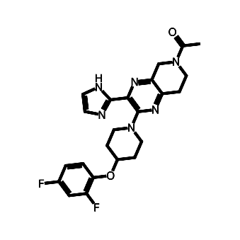 CC(=O)N1CCc2nc(N3CCC(Oc4ccc(F)cc4F)CC3)c(-c3ncc[nH]3)nc2C1